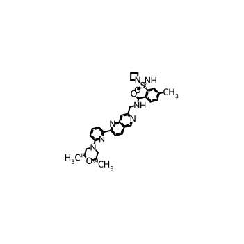 Cc1ccc(C(=O)NCc2cc3nc(-c4cccc(N5C[C@@H](C)O[C@@H](C)C5)n4)ccc3cn2)c([S@@](=N)(=O)N2CCC2)c1